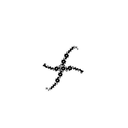 CCCCCCCOc1ccc(COc2ccc(C(=O)Oc3cc(OC(=O)c4ccc(OCCCCOCC5CO5)cc4)c(OC(=O)c4ccc(OCc5ccc(OCCCCCCC)cc5)cc4)cc3OC(=O)c3ccc(OCCCCOCC4CO4)cc3)cc2)cc1